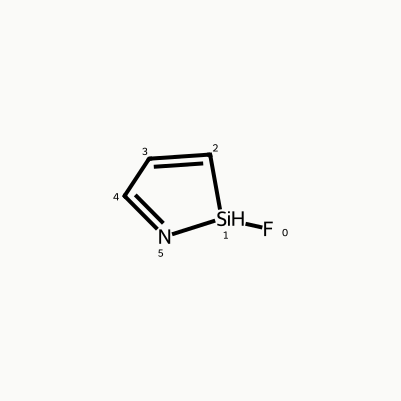 F[SiH]1C=CC=N1